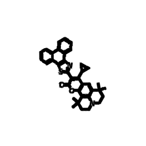 CC1(C)CCN2CCC(C)(C)c3c2c1cc1c(C2CC2)c(-c2nc4c5ccccc5c5ccccc5c4s2)c(=O)oc31